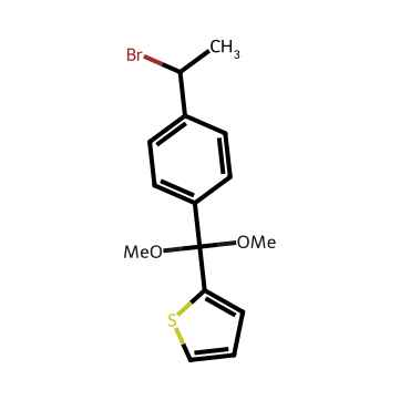 COC(OC)(c1ccc(C(C)Br)cc1)c1cccs1